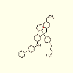 C=Cc1ccc(CC2(c3ccc(CCCC)cc3)c3ccccc3-c3ccc(Nc4ccc(-c5ccccc5)cc4)cc32)cc1